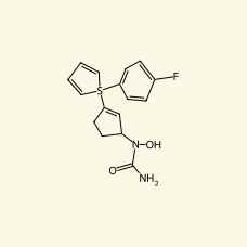 NC(=O)N(O)C1C=C(S2(c3ccc(F)cc3)C=CC=C2)CC1